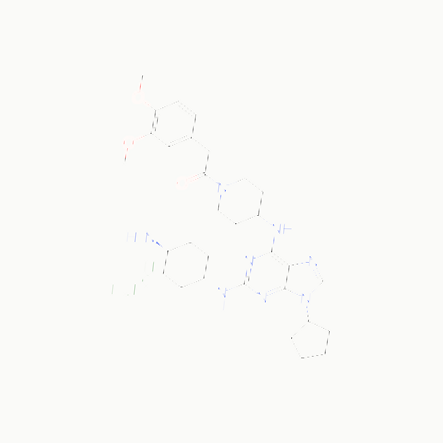 COc1ccc(CC(=O)N2CCC(Nc3nc(N[C@H]4CC[C@H](N)CC4)nc4c3ncn4C3CCCC3)CC2)cc1OC.Cl.Cl